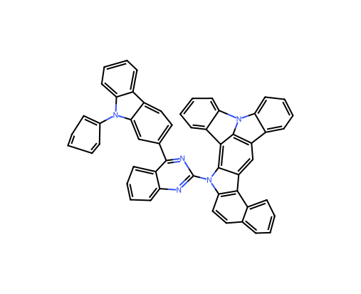 c1ccc(-n2c3ccccc3c3ccc(-c4nc(-n5c6ccc7ccccc7c6c6cc7c8ccccc8n8c9ccccc9c(c65)c78)nc5ccccc45)cc32)cc1